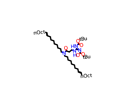 CCCCCCCC/C=C/CCCCCCCCN(CCCCCCCC/C=C/CCCCCCCC)C(=O)CCN/C(=N\C(=O)OC(C)(C)C)NC(=O)OC(C)(C)C